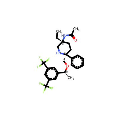 CC[C@@]1(NC(C)=O)CC[C@@](CO[C@H](C)c2cc(C(F)(F)F)cc(C(F)(F)F)c2)(c2ccccc2)NC1